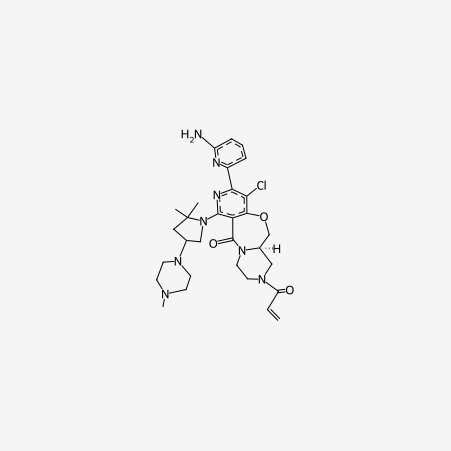 C=CC(=O)N1CCN2C(=O)c3c(N4CC(N5CCN(C)CC5)CC4(C)C)nc(-c4cccc(N)n4)c(Cl)c3OC[C@H]2C1